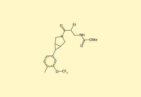 CCC(CNC(=O)OC)C(=O)N1CC2C(C1)C2c1ccc(C)c(OC(F)(F)F)c1